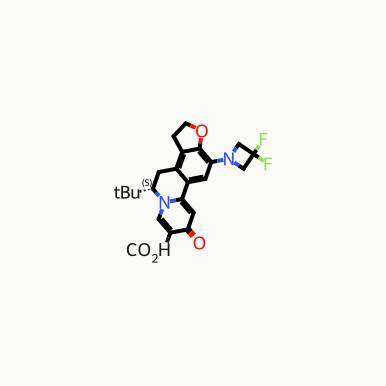 CC(C)(C)[C@@H]1Cc2c(cc(N3CC(F)(F)C3)c3c2CCO3)-c2cc(=O)c(C(=O)O)cn21